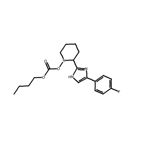 CCCCOC(=O)ON1CCCCC1c1nc(-c2ccc(F)cc2)c[nH]1